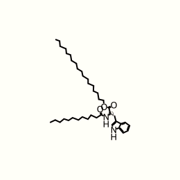 CCCCCCCCCCCCCCCCCCOC(=O)[C@H](Cc1c[nH]c2ccccc12)NC(=O)CCCCCCCCCCC